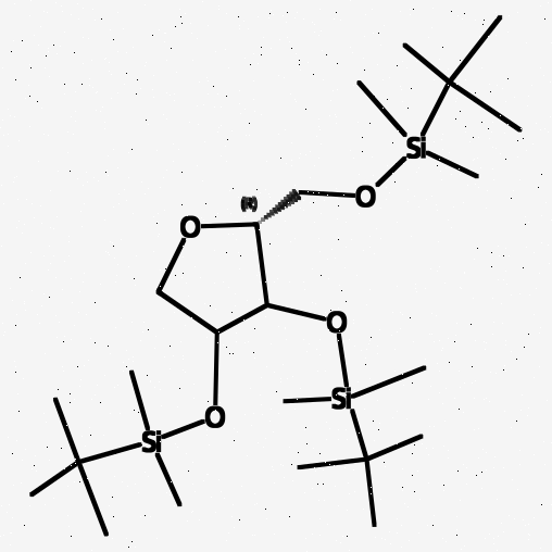 CC(C)(C)[Si](C)(C)OC[C@H]1OCC(O[Si](C)(C)C(C)(C)C)C1O[Si](C)(C)C(C)(C)C